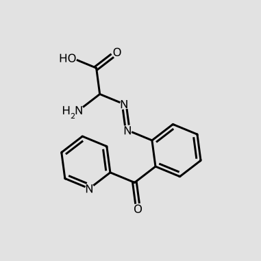 NC(/N=N/c1ccccc1C(=O)c1ccccn1)C(=O)O